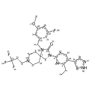 CCc1nc(N2CC3(CCN(CCC(F)(F)F)CC3)N(Cc3cc(F)cc(OC)c3)C2=O)ccc1-c1cn[nH]c1